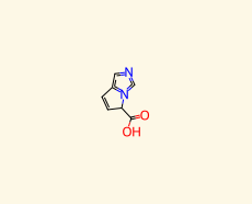 O=C(O)C1C=Cc2cncn21